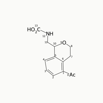 CC(=O)c1cccc2c1CCOC2CNC(=O)O